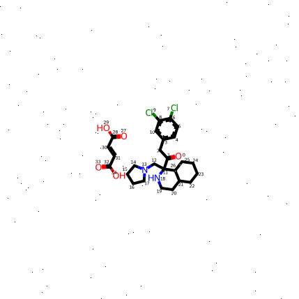 O=C(Cc1ccc(Cl)c(Cl)c1)C1(CN2CCCC2)NCCC2CCCCC21.O=C(O)C=CC(=O)O